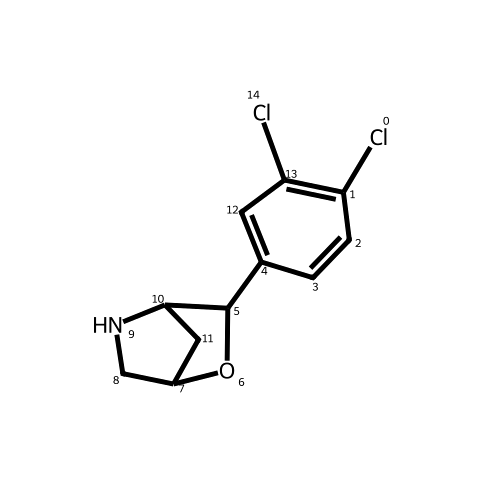 Clc1ccc(C2OC3CNC2C3)cc1Cl